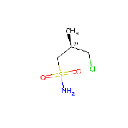 C[C@@H](CCl)CS(N)(=O)=O